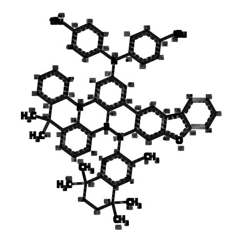 Cc1cc2c(cc1N1B3c4cccc5c4N(c4ccccc4C5(C)C)c4cc(N(c5ccc(C(C)(C)C)cc5)c5ccc(C(C)(C)C)cc5)cc(c43)-c3cc4c(cc31)oc1ccccc14)C(C)(C)CCC2(C)C